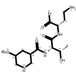 CCC(=O)[C@H](CCN)NC(=O)[C@@H](NC(=O)C1CNCC(OCC(C)C)C1)[C@H](C)O